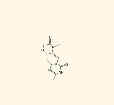 Cc1nc2cc3c(cc2c(=O)[nH]1)N(C)C(=O)CO3